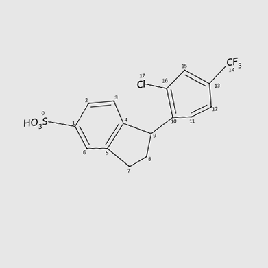 O=S(=O)(O)c1ccc2c(c1)CCC2c1ccc(C(F)(F)F)cc1Cl